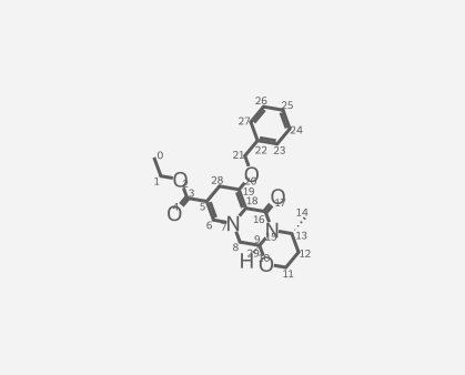 CCOC(=O)C1=CN2C[C@@H]3OCC[C@@H](C)N3C(=O)C2=C(OCc2ccccc2)C1